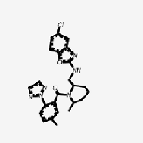 Cc1ccc(-n2nccn2)c(C(=O)N2C(C)CCCC2CNc2nc3cc(Cl)ccc3o2)c1